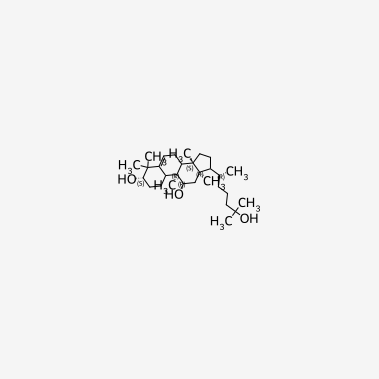 C[C@H](CCCC(C)(C)O)C1CC[C@@]2(C)C3CC=C4C(CC[C@H](O)C4(C)C)[C@]3(C)[C@H](O)C[C@]12C